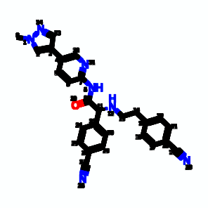 Cn1cc(-c2ccc(NC(=O)[C@H](NCCc3ccc(C#N)cc3)c3ccc(C#N)cc3)nc2)cn1